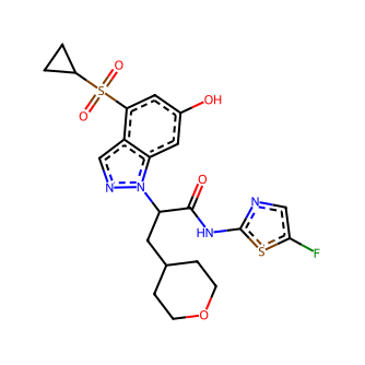 O=C(Nc1ncc(F)s1)C(CC1CCOCC1)n1ncc2c(S(=O)(=O)C3CC3)cc(O)cc21